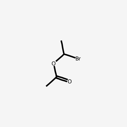 CC(=O)OC(C)Br